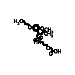 CCCCOc1ccc2c(c1)C(CS(=O)(=O)NCCCOCC(=O)O)CC(C)(C)O2